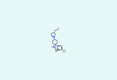 CCCC1CCN(C2CCC(c3ccc(Cl)cc3)(N(C)C3CC3)CC2)C1